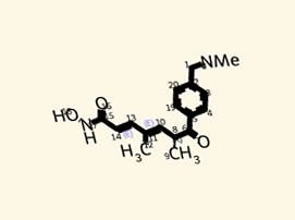 CNCc1ccc(C(=O)[C@H](C)/C=C(C)/C=C/C(=O)NO)cc1